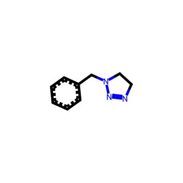 c1ccc(CN2CCN=N2)cc1